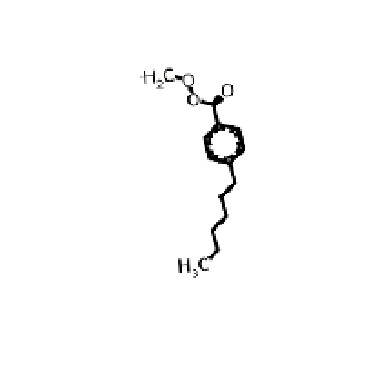 [CH2]OOC(=O)c1ccc(CCCCCC)cc1